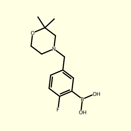 CC1(C)CN(Cc2ccc(F)c(B(O)O)c2)CCO1